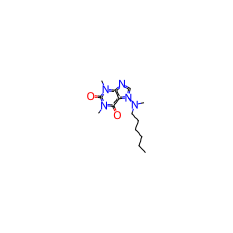 CCCCCCN(C)n1cnc2c1c(=O)n(C)c(=O)n2C